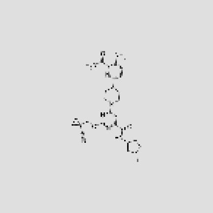 C[C@H]1CC[C@H](NC(=O)c2cc(N3CCC(c4ccc(N)c(C(N)=O)n4)CC3)nc(OCC3(C#N)CC3)n2)C1